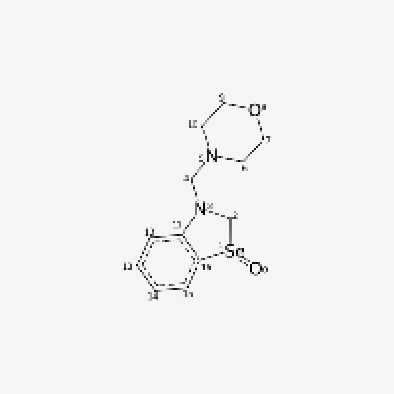 O=[Se]1CN(CN2CCOCC2)c2ccccc21